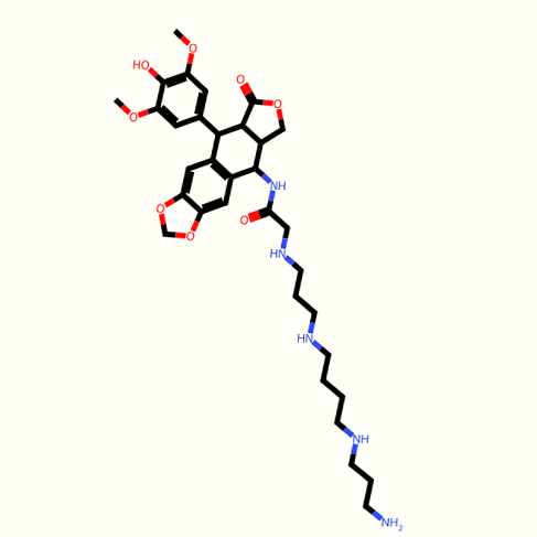 COc1cc(C2c3cc4c(cc3C(NC(=O)CNCCCNCCCCNCCCN)C3COC(=O)C23)OCO4)cc(OC)c1O